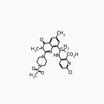 Cc1cc([C@@H](C)Nc2ccc(Cl)nc2C(=O)O)c2nc(N3CCN(S(C)(=O)=O)CC3)n(C)c(=O)c2c1